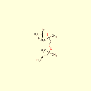 C=CCC(C)(C)OCCC(C)(C)OC(C)(C)CC